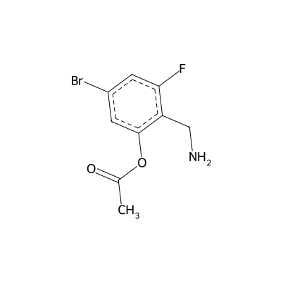 CC(=O)Oc1cc(Br)cc(F)c1CN